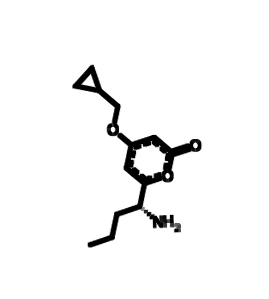 CCC[C@@H](N)c1cc(OCC2CC2)cc(=O)o1